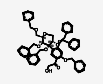 O=C(CO)c1cc([C@]2(OCc3ccccc3)[C@@H](OCc3ccccc3)CO[C@H](COCc3ccccc3)[C@H]2OCc2ccccc2)c(OCc2ccccc2)cc1OCc1ccccc1